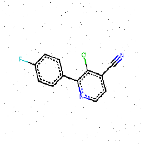 N#Cc1ccnc(-c2ccc(F)cc2)c1Cl